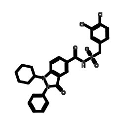 O=C(NS(=O)(=O)Cc1ccc(Cl)c(Cl)c1)c1ccc2c(c1)c(=O)n(-c1ccccc1)n2C1CCCCC1